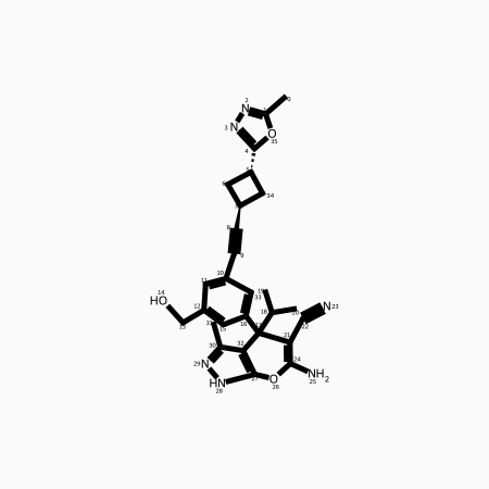 Cc1nnc([C@H]2C[C@H](C#Cc3cc(CO)cc(C4(C(C)C)C(C#N)=C(N)Oc5[nH]nc(C)c54)c3)C2)o1